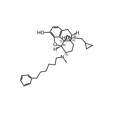 CN(CCCCCCc1ccccc1)[C@H]1CC[C@@]2(O)[C@H]3Cc4ccc(O)c5c4[C@@]2(CCN3CC2CC2)[C@H]1O5